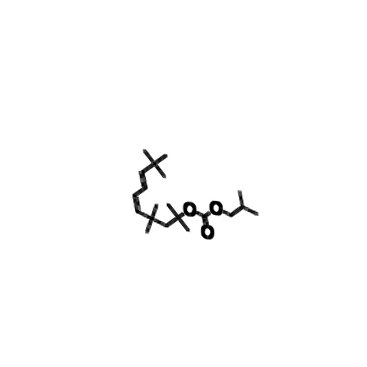 CC(C)COC(=O)OC(C)(C)CC(C)(C)/C=C\C=C\C(C)(C)C